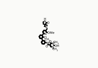 COc1nc(-c2cccc(-c3cccc(NC(=O)C4=CN(C)C(O)N(C)C4=O)c3C)c2Cl)ccc1CN1CC2(CCNC2=O)C1